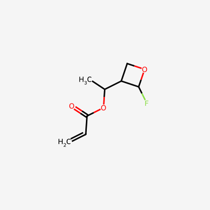 C=CC(=O)OC(C)C1COC1F